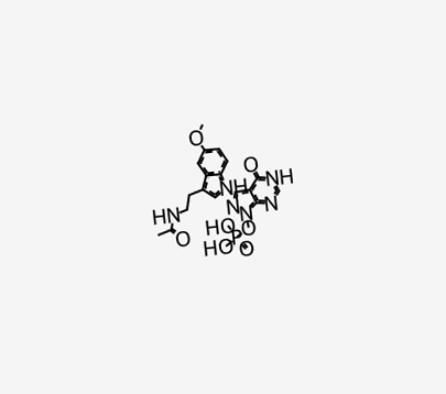 COc1ccc2[nH]cc(CCNC(C)=O)c2c1.O=c1[nH]cnc2c1cnn2OP(=O)(O)O